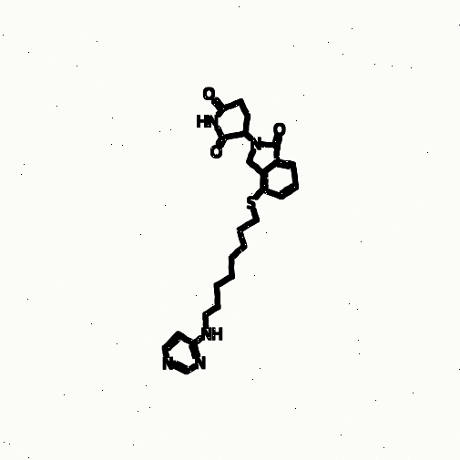 O=C1CCC(N2Cc3c(SCCCCCCCCNc4ccncn4)cccc3C2=O)C(=O)N1